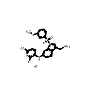 CNCc1cn(S(=O)(=O)c2cccc(OC(F)(F)F)c2)c2cc(Nc3ccc(C)nc3Cl)ccc12.Cl